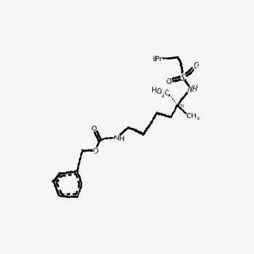 CC(C)CS(=O)(=O)N[C@@](C)(CCCCNC(=O)OCc1ccccc1)C(=O)O